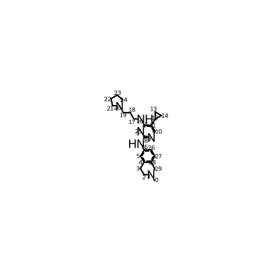 CN1CCc2cc(Nc3ncc(C4CC4)c(NCCCN4CCCC4)n3)ccc2C1